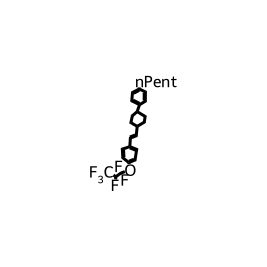 CCCCCc1ccc(C2CCC(C=Cc3ccc(OC(F)(F)C(F)C(F)(F)F)cc3)CC2)cc1